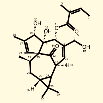 C/C=C(/C)C(=O)O[C@@H]1C(CO)=C[C@@H]2C(=O)[C@]3(C=C(C)[C@H](O)[C@@]13O)[C@H](C)C[C@@H]1C2C1(C)C